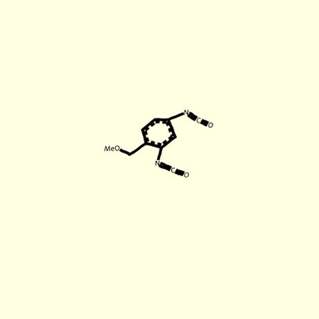 COCc1ccc(N=C=O)cc1N=C=O